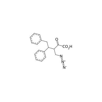 [N-]=[N+]=NCC(C(=O)C(=O)O)C(Cc1ccccc1)c1ccccc1